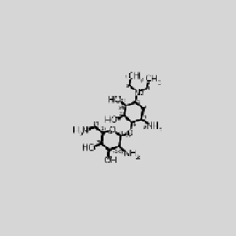 CCN(CC)C1CC(N)C(OC2OC(CN)C(O)C(O)C2N)C(O)C1O